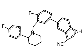 N#Cc1c[nH]c2ccc(-c3ccc(F)c(CN4CCCCC4c4ccc(F)cc4)c3)cc12